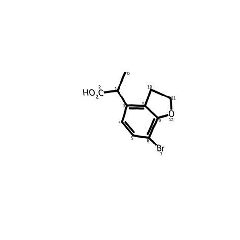 CC(C(=O)O)c1ccc(Br)c2c1CCO2